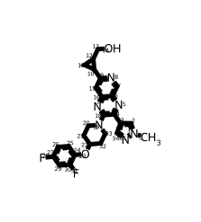 Cn1cc(-c2nc3cnc(C4CC4CO)cc3nc2N2CCC(Oc3ccc(F)cc3F)CC2)cn1